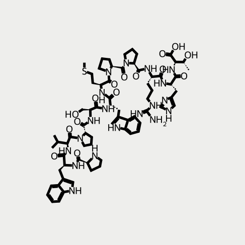 CSCC[C@H](NC(=O)[C@H](Cc1c[nH]c2ccccc12)NC(=O)[C@H](CO)NC(=O)[C@@H]1CCCN1C(=O)[C@@H](NC(=O)[C@H](Cc1c[nH]c2ccccc12)NC(=O)[C@@H]1CCCN1)C(C)C)C(=O)N1CCC[C@H]1C(=O)N1CCC[C@H]1C(=O)N[C@@H](CCCNC(=N)N)C(=O)N[C@@H](Cc1c[nH]cn1)C(=O)N[C@H](C(=O)O)[C@@H](C)O